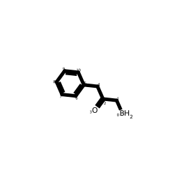 BCC(=O)Cc1ccccc1